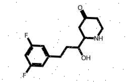 O=C1CCNC(C(O)CCc2cc(F)cc(F)c2)C1